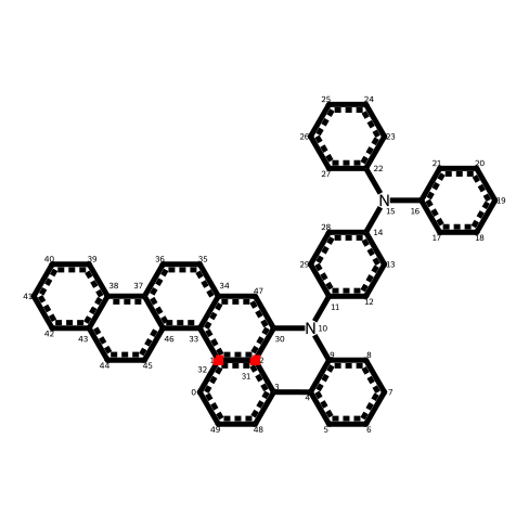 c1ccc(-c2ccccc2N(c2ccc(N(c3ccccc3)c3ccccc3)cc2)c2ccc3c(ccc4c5ccccc5ccc34)c2)cc1